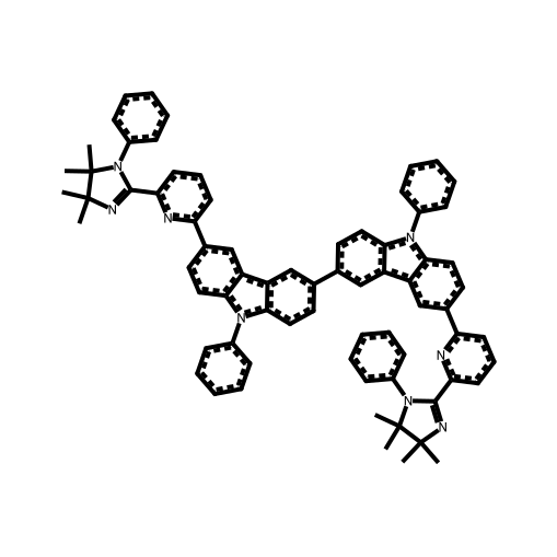 CC1(C)N=C(c2cccc(-c3ccc4c(c3)c3cc(-c5ccc6c(c5)c5cc(-c7cccc(C8=NC(C)(C)C(C)(C)N8c8ccccc8)n7)ccc5n6-c5ccccc5)ccc3n4-c3ccccc3)n2)N(c2ccccc2)C1(C)C